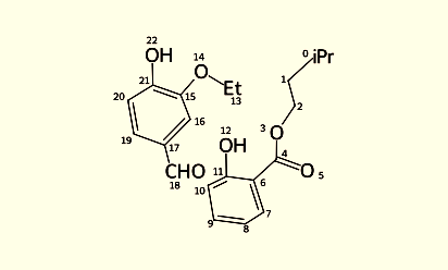 CC(C)CCOC(=O)c1ccccc1O.CCOc1cc(C=O)ccc1O